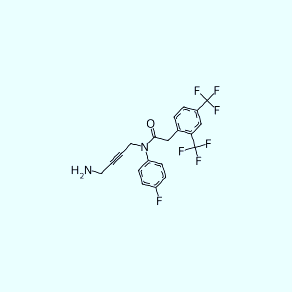 NCC#CCN(C(=O)Cc1ccc(C(F)(F)F)cc1C(F)(F)F)c1ccc(F)cc1